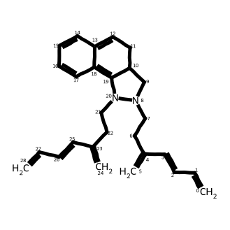 C=CC=CC(=C)CCN1CC2CC=c3ccccc3=C2N1CCC(=C)C=CC=C